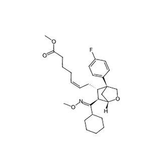 CON=C(C1CCCCC1)[C@@H]1[C@@H]2C[C@@](c3ccc(F)cc3)(CO2)[C@H]1C/C=C\CCCC(=O)OC